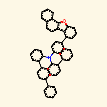 c1ccc(-c2ccc(-c3ccccc3N(c3ccc(-c4cccc5oc6c7ccccc7ccc6c45)cc3)c3ccccc3-c3ccccc3)cc2)cc1